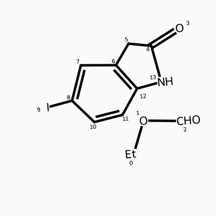 CCOC=O.O=C1Cc2cc(I)ccc2N1